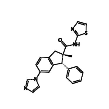 C[C@]1(C(=O)Nc2nccs2)Cc2ccc(-n3ccnc3)cc2[C@H]1c1ccccc1